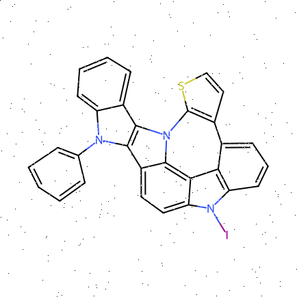 In1c2cccc3c4ccsc4n4c5c(ccc1c5c32)c1c4c2ccccc2n1-c1ccccc1